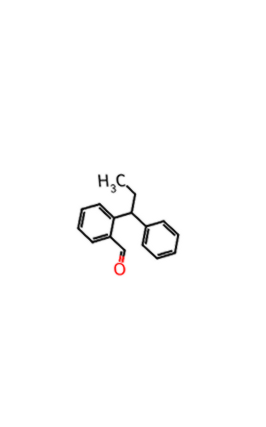 CCC(c1ccccc1)c1ccccc1C=O